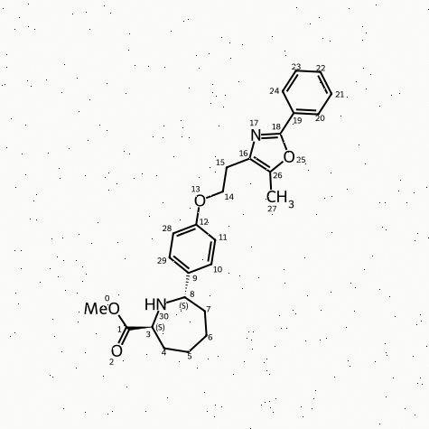 COC(=O)[C@@H]1CCCC[C@@H](c2ccc(OCCc3nc(-c4ccccc4)oc3C)cc2)N1